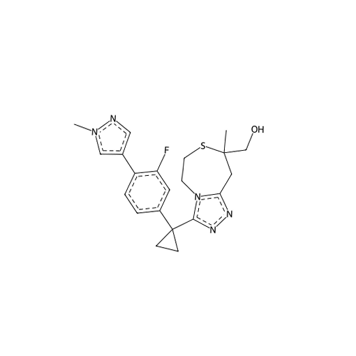 Cn1cc(-c2ccc(C3(c4nnc5n4CCSC(C)(CO)C5)CC3)cc2F)cn1